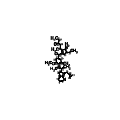 C=C(c1cc2cccnc2n1CC1CC1)N(C)c1c(C)cc(C(=O)N2CC(CC)C(N)C2[C@H](C)CC(=O)CC)cc1OC